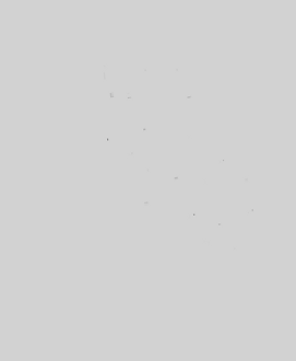 C#Cc1ccc(C(F)(F)F)cc1-c1sc2c(c1C(C)=O)CC(C)(C)CC2